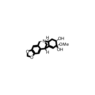 CO[C@]1(O)C=C2[C@H]3C[N@](Cc4cc5c(cc43)OCO5)[C@H]2C[C@@H]1O